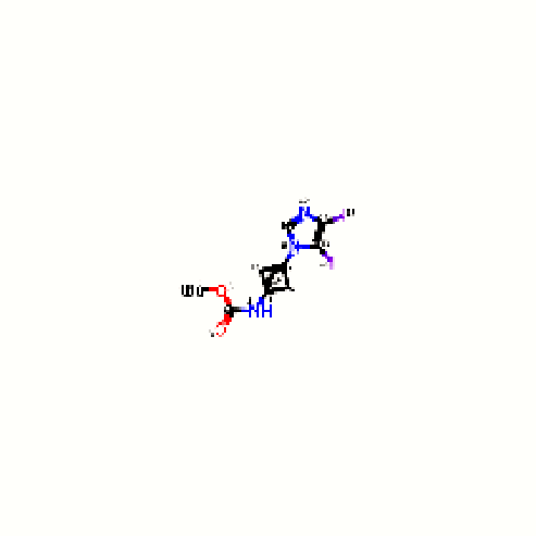 CC(C)(C)OC(=O)NC12CC(n3cnc(I)c3I)(C1)C2